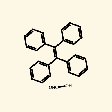 O=CO.c1ccc(C(=C(c2ccccc2)c2ccccc2)c2ccccc2)cc1